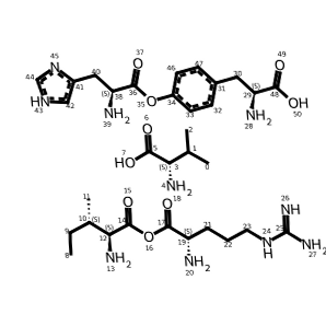 CC(C)[C@H](N)C(=O)O.CC[C@H](C)[C@H](N)C(=O)OC(=O)[C@@H](N)CCCNC(=N)N.N[C@@H](Cc1ccc(OC(=O)[C@@H](N)Cc2c[nH]cn2)cc1)C(=O)O